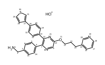 Cl.NCc1ccc(-c2ncc(OCCCc3cccnc3)nc2-c2ccc(-c3ccsc3)cc2)cc1